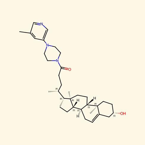 Cc1cncc(N2CCN(C(=O)CC[C@@H](C)[C@H]3CC[C@H]4[C@@H]5CC=C6C[C@@H](O)CC[C@]6(C)[C@H]5CC[C@]34C)CC2)c1